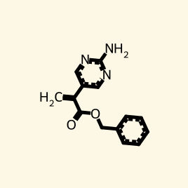 C=C(C(=O)OCc1ccccc1)c1cnc(N)nc1